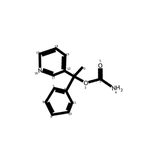 CC(OC(N)=O)(c1ccccc1)c1cccnc1